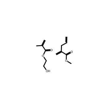 C=C(C)C(=O)OCCO.C=CCC(=C)C(=O)OC